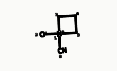 N#C[N+]1([O-])CCC1